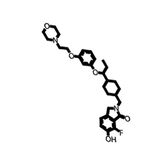 CCC(Oc1cccc(OCCN2CCOCC2)c1)C1CCC(CN2Cc3ccc(O)c(F)c3C2=O)CC1